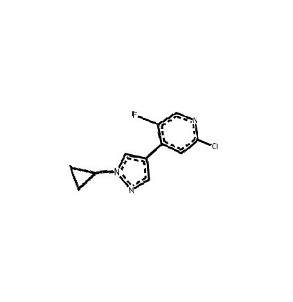 Fc1cnc(Cl)cc1-c1cnn(C2CC2)c1